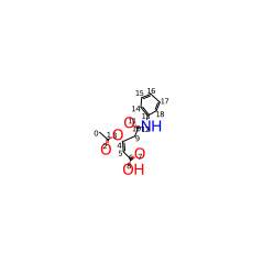 CC(=O)OC(=CC(=O)O)CC(=O)Nc1ccccc1